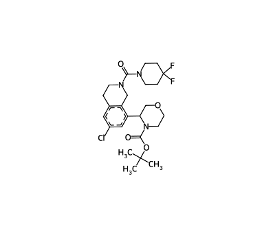 CC(C)(C)OC(=O)N1CCOCC1c1cc(Cl)cc2c1CN(C(=O)N1CCC(F)(F)CC1)CC2